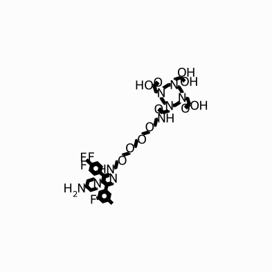 Cc1cc(F)cc(-c2cnc(NCCOCCOCCOCCOCCNC(=O)CN3CCN(CC(=O)O)CCN(CC(O)O)CCN(CC(=O)O)CC3)c(-c3ccc(C(F)(F)F)cc3)c2N2CCC(N)CC2)c1